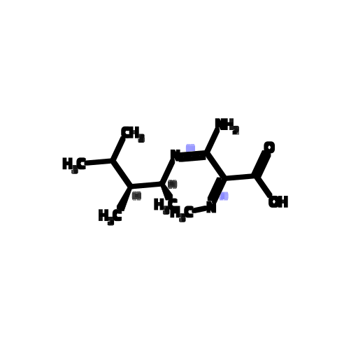 C/N=C(C(=O)O)\C(N)=N/[C@@H](C)[C@@H](C)C(C)C